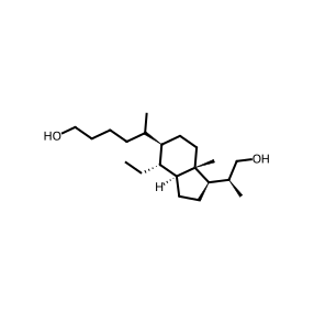 CC[C@@H]1[C@@H](C(C)CCCCO)CC[C@]2(C)[C@@H]([C@H](C)CO)CC[C@@H]12